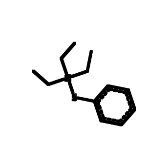 CC[Si](CC)(CC)Sc1ccccc1